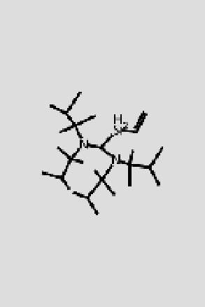 C=C[SiH2]C(N(C(C)(C)C(C)C)C(C)(C)C(C)C)N(C(C)(C)C(C)C)C(C)(C)C(C)C